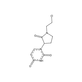 O=C1C(n2ccc(=O)[nH]c2=O)CCN1CCCl